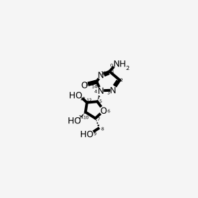 Nc1cnn([C@@H]2O[C@H](CO)[C@H](O)C2O)c(=O)n1